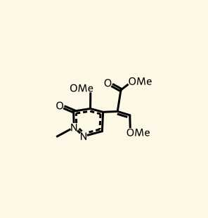 CO/C=C(/C(=O)OC)c1cnn(C)c(=O)c1OC